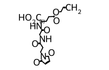 C=CCOC(=O)CC[C@H](NC(=O)CNC(=O)CCN1C(=O)C=CC1=O)C(=O)O